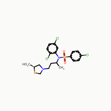 CC(CCN1CS[C@@H](C(=O)O)C1)N(c1cc(Cl)ccc1Cl)S(=O)(=O)c1ccc(Cl)cc1